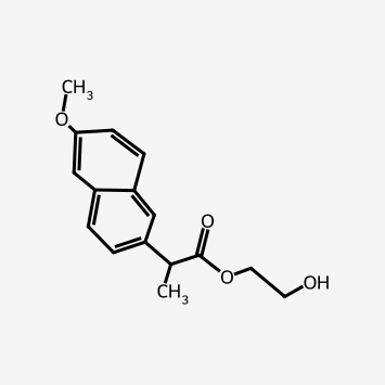 COc1ccc2cc(C(C)C(=O)OCCO)ccc2c1